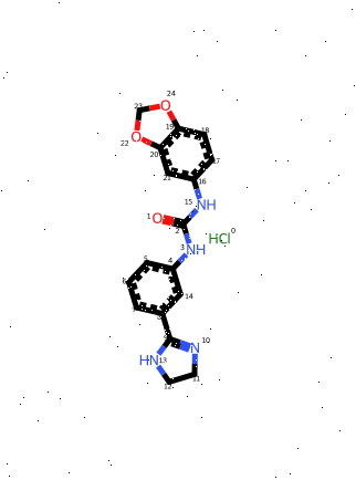 Cl.O=C(Nc1cccc(C2=NCCN2)c1)Nc1ccc2c(c1)OCO2